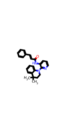 CC1(C)CCN(c2ncccc2NC(=O)C=Cc2ccccc2)c2ccccc21